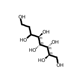 OCCC(O)[C@@H](O)[C@@H](O)[C@H](O)[C@H](O)CO